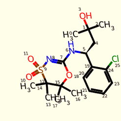 CC(C)(O)C[C@H](NC1=NS(=O)(=O)C(C)(C)C(C)(C)O1)c1ccccc1Cl